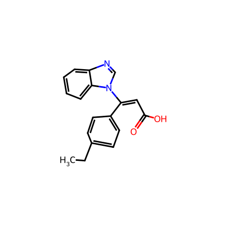 CCc1ccc(/C(=C\C(=O)O)n2cnc3ccccc32)cc1